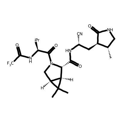 CC(C)[C@H](NC(=O)C(F)(F)F)C(=O)N1C[C@H]2[C@@H]([C@H]1C(=O)N[C@H](C#N)C[C@H]1C(=O)NC[C@@H]1C)C2(C)C